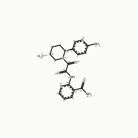 C[C@@H]1CC[C@@H](c2ccc(N)nc2)N(C(=O)C(=O)Nc2ncccc2C(N)=O)C1